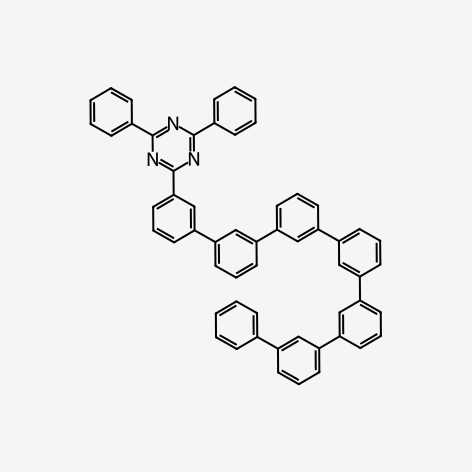 c1ccc(-c2cccc(-c3cccc(-c4cccc(-c5cccc(-c6cccc(-c7cccc(-c8nc(-c9ccccc9)nc(-c9ccccc9)n8)c7)c6)c5)c4)c3)c2)cc1